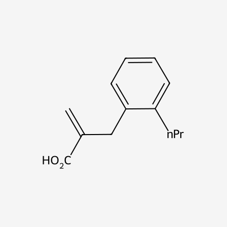 C=C(Cc1ccccc1CCC)C(=O)O